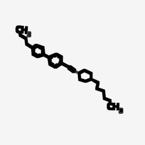 CCCCCC[C@H]1CC[C@H](C#Cc2ccc(-c3ccc(CCCC)cc3)cc2)CC1